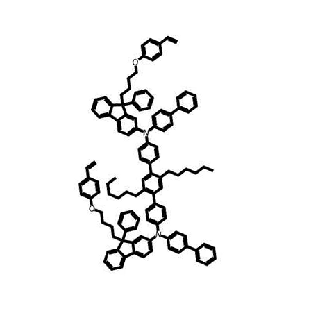 C=Cc1ccc(OCCCCC2(c3ccccc3)c3ccccc3-c3ccc(N(c4ccc(-c5ccccc5)cc4)c4ccc(-c5cc(CCCCCC)c(-c6ccc(N(c7ccc(-c8ccccc8)cc7)c7ccc8c(c7)C(CCCCOc7ccc(C=C)cc7)(c7ccccc7)c7ccccc7-8)cc6)cc5CCCCCC)cc4)cc32)cc1